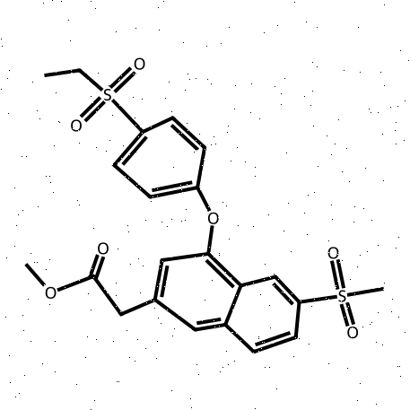 CCS(=O)(=O)c1ccc(Oc2cc(CC(=O)OC)cc3ccc(S(C)(=O)=O)cc23)cc1